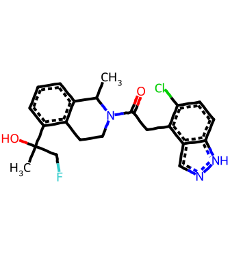 CC1c2cccc(C(C)(O)CF)c2CCN1C(=O)Cc1c(Cl)ccc2[nH]ncc12